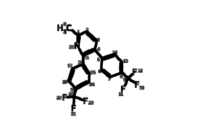 Cc1ccc(-c2ccc(C(F)(F)F)cc2)c(-c2ccc(C(F)(F)F)cc2)n1